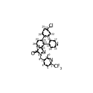 Cc1nc(C(F)(F)F)ccc1Cn1nc2c(-c3ccncc3)c(-c3ccc(Cl)cc3)ccn2c1=O